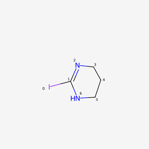 IC1=NCCCN1